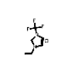 CCN1C=CN(C(F)(F)F)C1.Cl